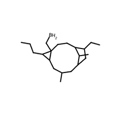 BCC12CCC3C(CC)CC(CC(C)CC1C2CCC)C3C